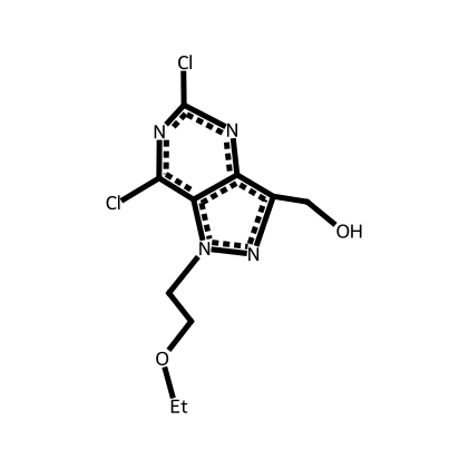 CCOCCn1nc(CO)c2nc(Cl)nc(Cl)c21